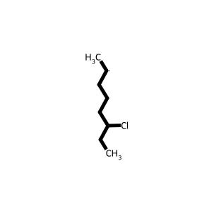 C[CH]CCCC(Cl)CC